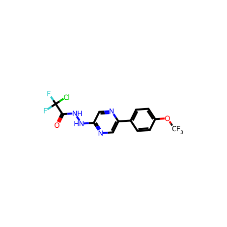 O=C(NNc1cnc(-c2ccc(OC(F)(F)F)cc2)cn1)C(F)(F)Cl